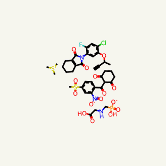 C#CC(C)Oc1cc(N2C(=O)C3=C(CCCC3)C2=O)c(F)cc1Cl.CS(=O)(=O)c1ccc(C(=O)C2C(=O)CCCC2=O)c([N+](=O)[O-])c1.C[S+](C)C.O=C(O)CNCP(=O)([O-])O